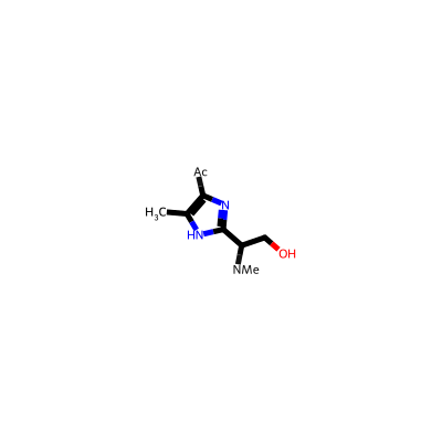 CNC(CO)c1nc(C(C)=O)c(C)[nH]1